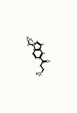 CCCC(=O)c1ccc2c(ccn2CC)c1